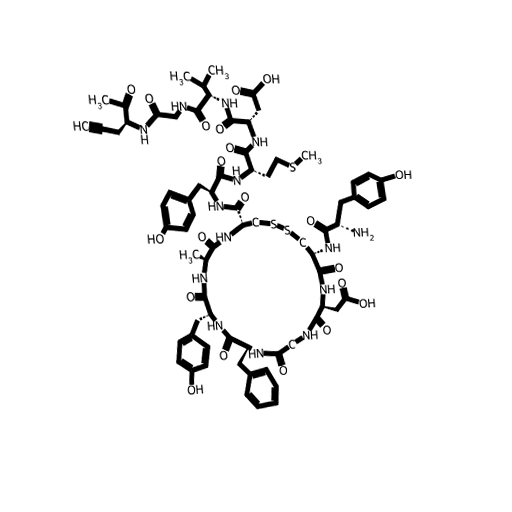 C#CC[C@H](NC(=O)CNC(=O)[C@@H](NC(=O)[C@H](CC(=O)O)NC(=O)[C@H](CCSC)NC(=O)[C@H](Cc1ccc(O)cc1)NC(=O)[C@@H]1CSSC[C@H](NC(=O)[C@@H](N)Cc2ccc(O)cc2)C(=O)N[C@@H](CC(=O)O)C(=O)NCC(=O)N[C@@H](Cc2ccccc2)C(=O)N[C@H](Cc2ccc(O)cc2)C(=O)N[C@@H](C)C(=O)N1)C(C)C)C(C)=O